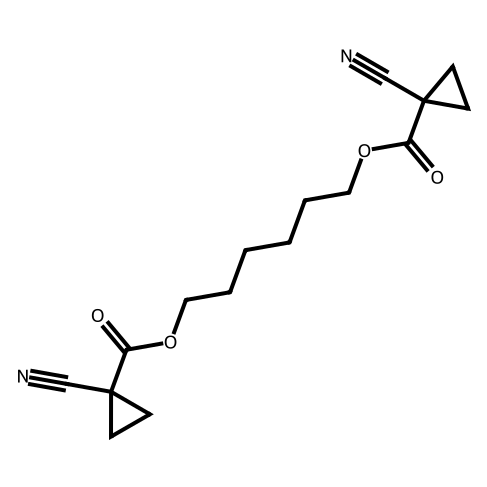 N#CC1(C(=O)OCCCCCCOC(=O)C2(C#N)CC2)CC1